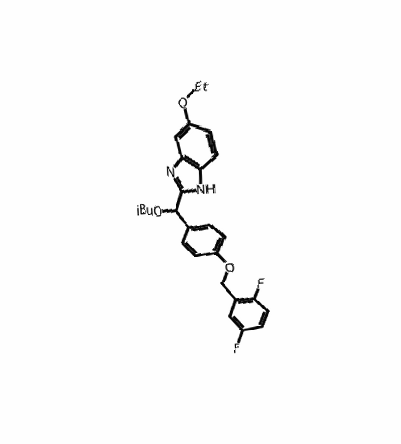 CCOc1ccc2[nH]c(C(OCC(C)C)c3ccc(OCc4cc(F)ccc4F)cc3)nc2c1